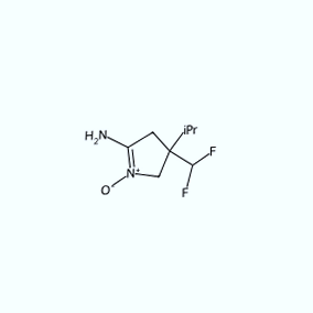 CC(C)C1(C(F)F)CC(N)=[N+]([O-])C1